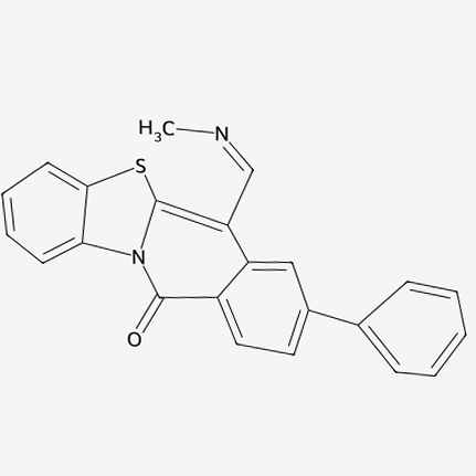 C/N=C\c1c2cc(-c3ccccc3)ccc2c(=O)n2c1sc1ccccc12